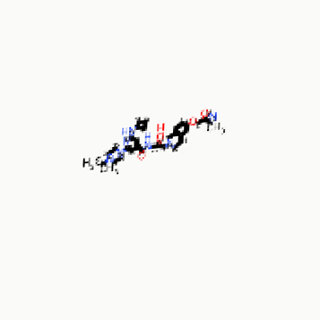 Cc1ncoc1COc1ccc2c(c1)CCN(CC(O)CNC(=O)c1cc(NC3CCC3)nc(N3CCN(C(C)C)CC3)c1)C2